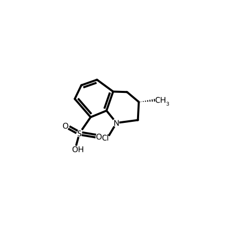 C[C@H]1Cc2cccc(S(=O)(=O)O)c2N(Cl)C1